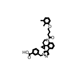 Cc1cccc(OCCCC(=O)N2CCC3(CC3)c3c(-c4cnn(Cc5cccc(C(=O)O)c5)c4)cccc32)c1C